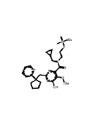 CCCCOc1c(O)nc(CC2(c3ccccn3)CCCC2)nc1C(=O)N(CCO[Si](C)(C)C(C)(C)C)CC1CC1